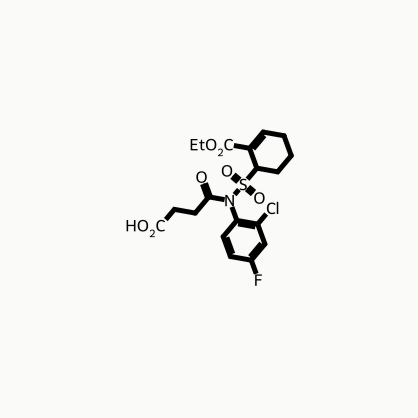 CCOC(=O)C1=CCCCC1S(=O)(=O)N(C(=O)CCC(=O)O)c1ccc(F)cc1Cl